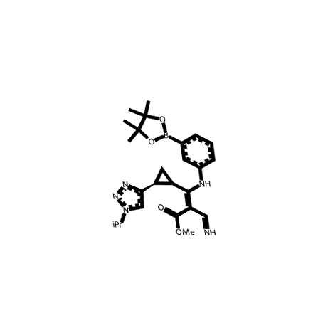 COC(=O)/C(C=N)=C(/Nc1cccc(B2OC(C)(C)C(C)(C)O2)c1)C1C[C@@H]1c1cn(C(C)C)nn1